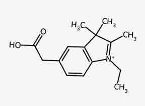 CC[N+]1=C(C)C(C)(C)c2cc(CC(=O)O)ccc21